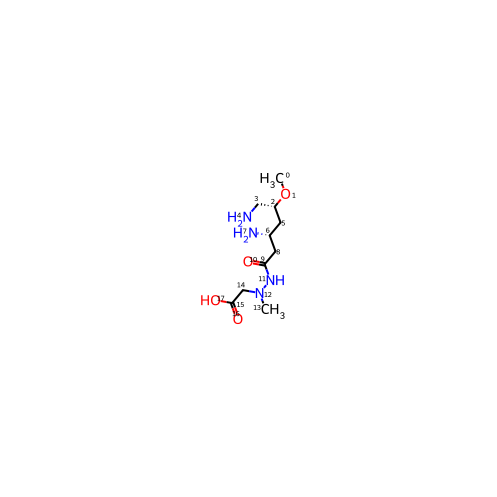 CO[C@@H](CN)C[C@@H](N)CC(=O)NN(C)CC(=O)O